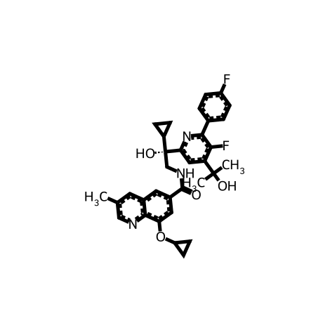 Cc1cnc2c(OC3CC3)cc(C(=O)NC[C@](O)(c3cc(C(C)(C)O)c(F)c(-c4ccc(F)cc4)n3)C3CC3)cc2c1